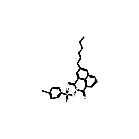 CCCCCCc1cc2c3c(cccc3c1)C(=O)N(OS(=O)(=O)c1ccc(C)cc1)C2=O